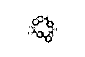 CCOC(O)N1CC=C(c2cccn3nc(Nc4ccc(C(=O)N5CCN6CCCCC6C5)cc4)nc23)CC1